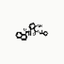 O=C(NCC1CCC1)c1c(O)cccc1NC(=O)c1cccc2ccccc12